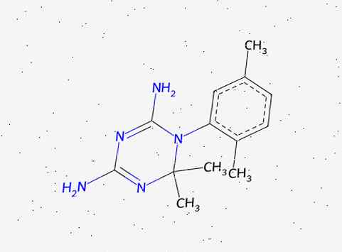 Cc1ccc(C)c(N2C(N)=NC(N)=NC2(C)C)c1